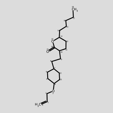 C=CCOC1CCC(CCC2CCC(CCCCC)OC2=O)CC1